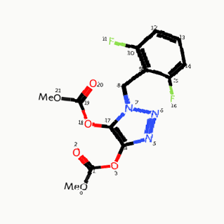 COC(=O)Oc1nnn(Cc2c(F)cccc2F)c1OC(=O)OC